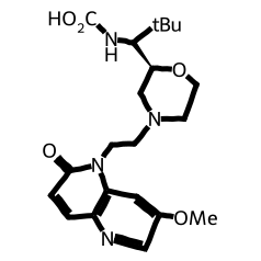 COc1cnc2ccc(=O)n(CCN3CCO[C@H](C(NC(=O)O)C(C)(C)C)C3)c2c1